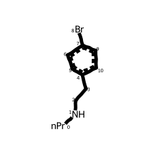 [CH2]CCNCCc1ccc(Br)cc1